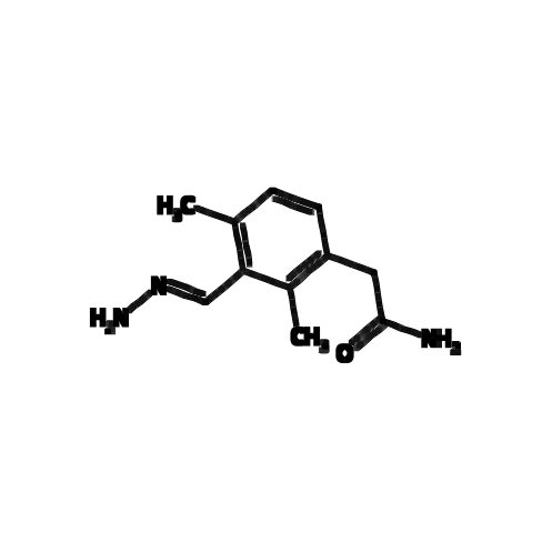 Cc1ccc(CC(N)=O)c(C)c1C=NN